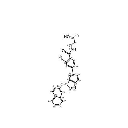 C[C@@H](O)CONC(=O)c1ccc(-c2ccc3nnn(Cc4ccc5ncccc5c4)c3n2)cc1Cl